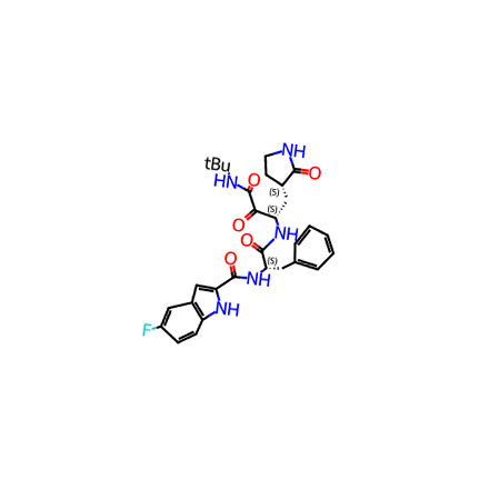 CC(C)(C)NC(=O)C(=O)[C@H](C[C@@H]1CCNC1=O)NC(=O)[C@H](Cc1ccccc1)NC(=O)c1cc2cc(F)ccc2[nH]1